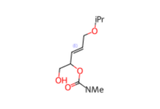 CNC(=O)OC(/C=C/COC(C)C)CO